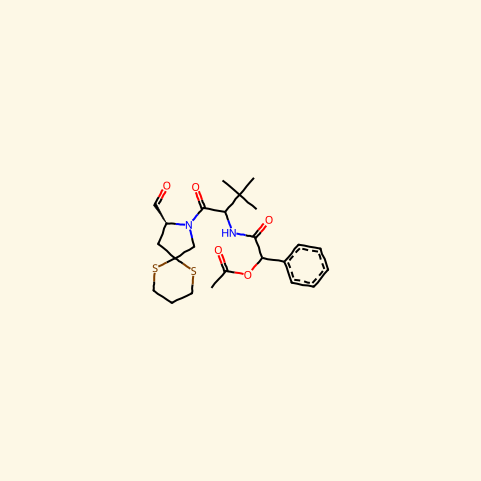 CC(=O)OC(C(=O)NC(C(=O)N1CC2(C[C@H]1C=O)SCCCS2)C(C)(C)C)c1ccccc1